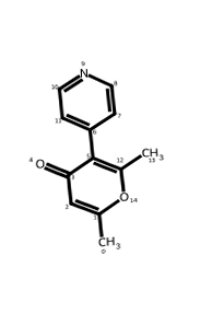 Cc1cc(=O)c(-c2ccncc2)c(C)o1